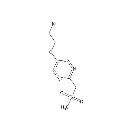 CS(=O)(=O)Cc1ncc(OCCBr)cn1